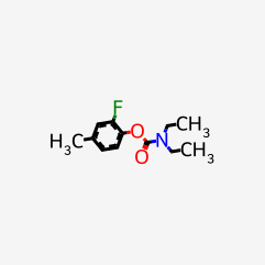 CCN(CC)C(=O)Oc1ccc(C)cc1F